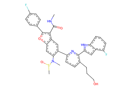 CNC(=O)c1c(-c2ccc(F)cc2)oc2cc(N(C)[S+](C)[O-])c(-c3ccc(CCCO)c(-c4cc5c(F)cccc5[nH]4)n3)cc12